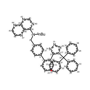 CCCCN(Cc1ccc(-c2ccccc2-c2nnnn2C(c2ccccc2)(c2ccccc2)c2ccccc2)cc1)c1ncnc2nccnc12